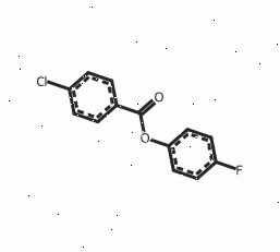 O=C(Oc1ccc(F)cc1)c1ccc(Cl)cc1